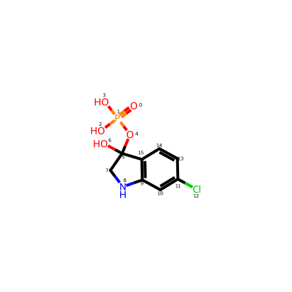 O=P(O)(O)OC1(O)CNc2cc(Cl)ccc21